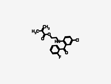 C=C(C)C(=O)OCCNc1ccc(Cl)cc1C(=O)c1ccccc1F